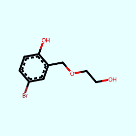 OCCOCc1cc(Br)ccc1O